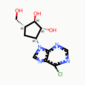 OC[C@H]1C[C@@H](n2cnc3c(Cl)ncnc32)[C@@H](O)[C@@H]1O